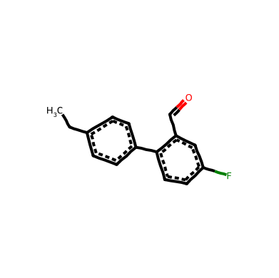 CCc1ccc(-c2ccc(F)cc2C=O)cc1